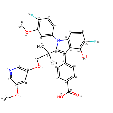 COc1cncc(OCC(C)(C)c2c(-c3ccc(C(=O)O)cc3)c3c(O)c(F)ccc3n2-c2ccc(F)c(OC)c2)c1